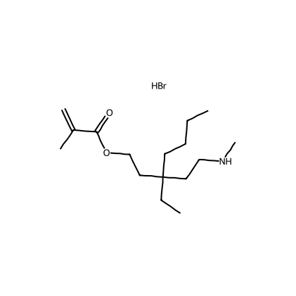 Br.C=C(C)C(=O)OCCC(CC)(CCCC)CCNC